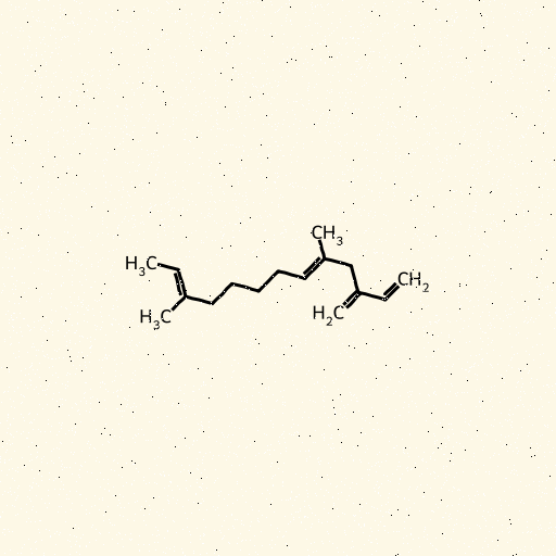 C=CC(=C)CC(C)=CCCCCC(C)=CC